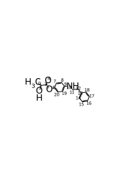 C[C@@H](O)C(=O)Oc1ccc(NCCc2ccccc2)cc1